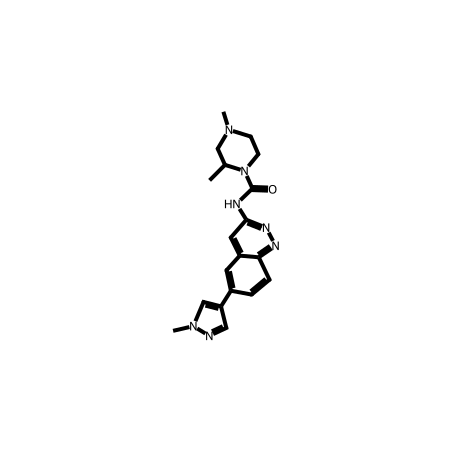 CC1CN(C)CCN1C(=O)Nc1cc2cc(-c3cnn(C)c3)ccc2nn1